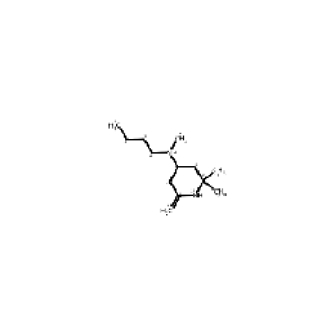 C=C1CC(N(C)CCCC)CC(C)(C)N1